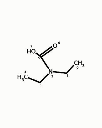 CCN(CC)C(=O)O